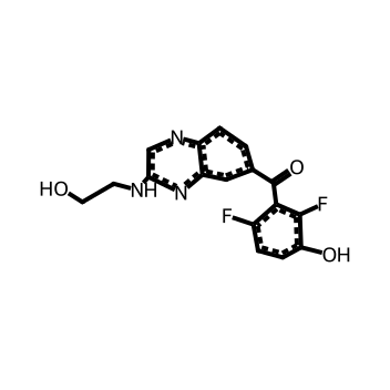 O=C(c1ccc2ncc(NCCO)nc2c1)c1c(F)ccc(O)c1F